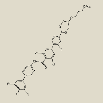 COCCCOC1COC(c2ccc(-c3cc(F)c(C(=O)Oc4ccc(-c5cc(F)c(F)c(F)c5)cc4)c(Cl)c3)c(F)c2)SC1